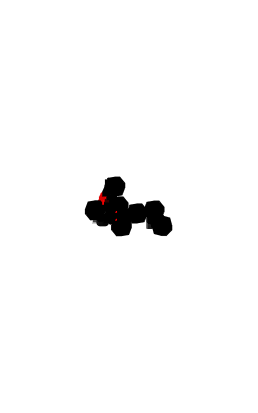 c1ccc(N(c2ccc(-c3cccc4c3sc3ccccc34)cc2)c2ccc3c(c2)[Si]2(c4ccccc4Oc4ccccc42)c2ccccc2[SiH]3c2ccccc2)cc1